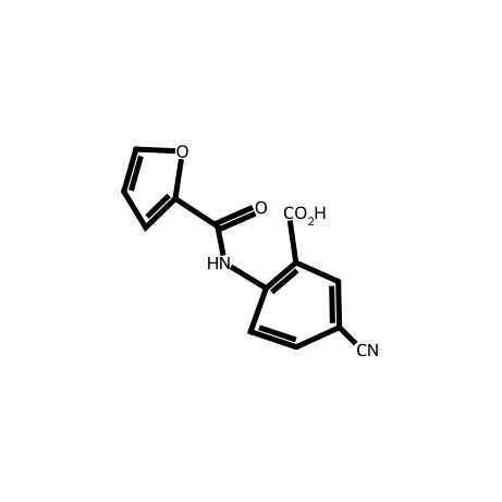 N#Cc1ccc(NC(=O)c2ccco2)c(C(=O)O)c1